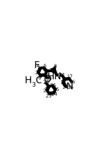 Cc1cc(F)cc(C2CC2NCc2ccncc2)c1OCc1ccccc1